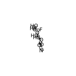 O=[SH](=O)C(CO)c1cc(F)cc(OC[C@@H](O)CN[C@H]2COC3(CCN(S(=O)(=O)c4ccc5ncccc5c4)CC3)C2)c1